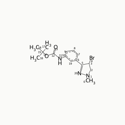 CN1CC(Br)C(c2cccc(NC(=O)OC(C)(C)C)c2)=N1